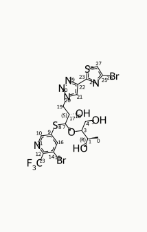 C[C@@H](O)C(CO)OC(Sc1cnc(C(F)(F)F)c(Br)c1)[C@@H](O)Cn1cc(-c2nc(Br)cs2)nn1